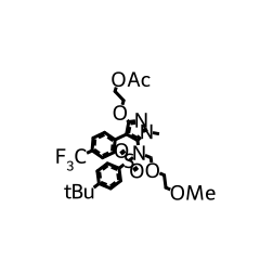 COCCOCN(c1c(-c2ccc(C(F)(F)F)cc2)c(OCCOC(C)=O)nn1C)S(=O)(=O)c1ccc(C(C)(C)C)cc1